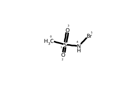 CS(=O)(=O)NBr